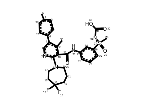 Cc1ccc(-c2cnc(N3CCCC(F)(F)CC3)c(C(=O)Nc3cccc(S(C)(=O)=NC(=O)O)c3)c2C)cc1